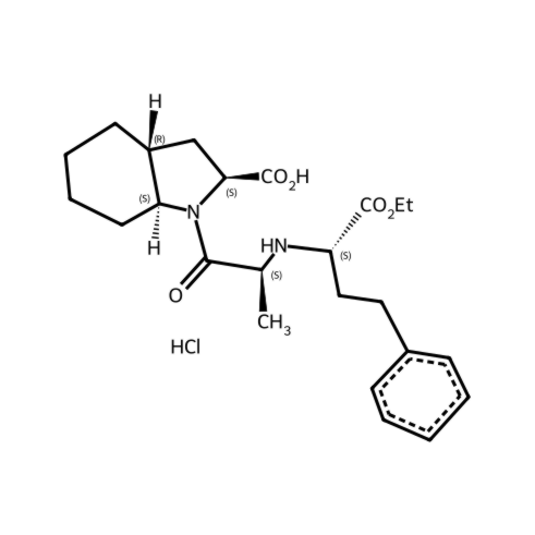 CCOC(=O)[C@H](CCc1ccccc1)N[C@@H](C)C(=O)N1[C@H](C(=O)O)C[C@H]2CCCC[C@@H]21.Cl